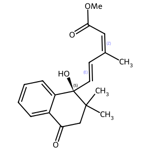 COC(=O)/C=C(C)\C=C\[C@@]1(O)c2ccccc2C(=O)CC1(C)C